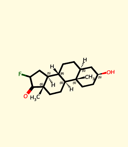 C[C@]12CC[C@H](O)C[C@@H]1CC[C@@H]1[C@@H]2CC[C@]2(C)C(=O)C(F)C[C@@H]12